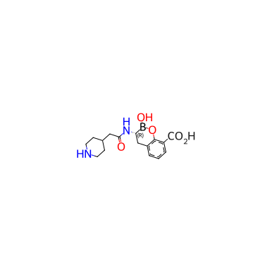 O=C(CC1CCNCC1)N[C@H]1Cc2cccc(C(=O)O)c2OB1O